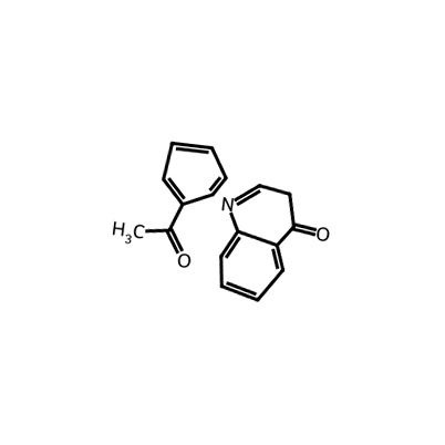 CC(=O)c1ccccc1.O=C1CC=Nc2ccccc21